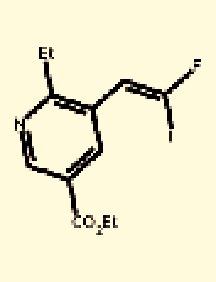 CCOC(=O)c1cnc(CC)c(C=C(F)F)c1